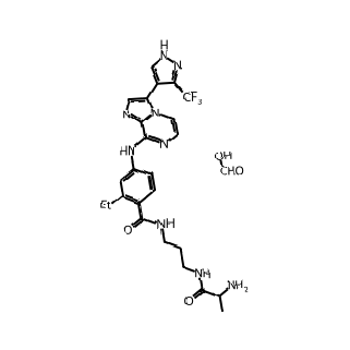 CCc1cc(Nc2nccn3c(-c4c[nH]nc4C(F)(F)F)cnc23)ccc1C(=O)NCCCNC(=O)C(C)N.O=CO